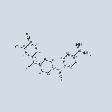 N=C(N)c1ccc(C(=O)N2CCN(C(=O)c3ccc(Cl)c(Cl)c3)CC2)cc1